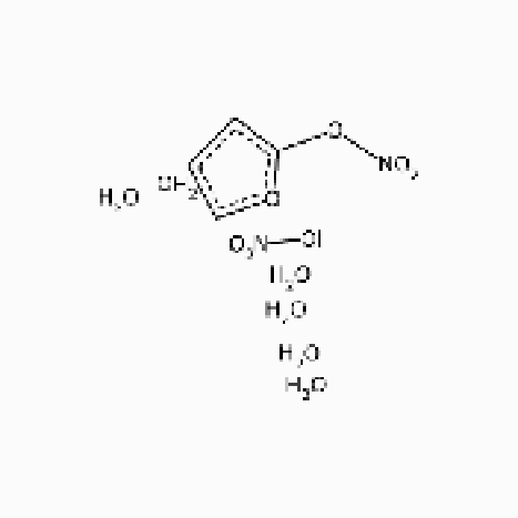 O.O.O.O.O.O.O=[N+]([O-])O.O=[N+]([O-])Oc1ccco1